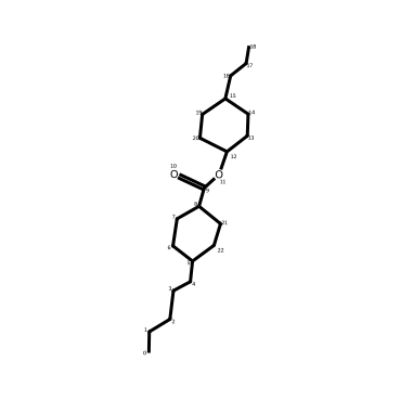 CCCCCC1CCC(C(=O)OC2CCC(CCC)CC2)CC1